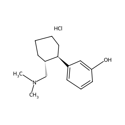 CN(C)C[C@@H]1CCCC[C@H]1c1cccc(O)c1.Cl